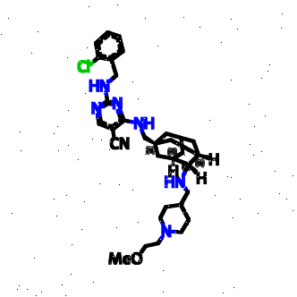 COCCN1CCC(CN[C@@H]2[C@@H]3CC4C[C@H]2C[C@@](CNc2nc(NCc5ccccc5Cl)ncc2C#N)(C4)C3)CC1